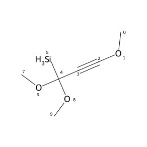 COC#CC([SiH3])(OC)OC